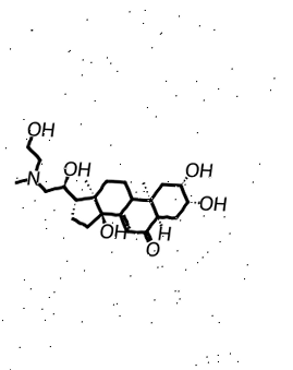 CN(CCO)C[C@@H](O)[C@H]1CC[C@@]2(O)C3=CC(=O)[C@@H]4C[C@@H](O)[C@@H](O)C[C@]4(C)C3CC[C@]12C